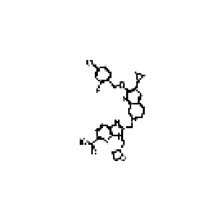 O=C(O)c1ccc2nc(CN3CCc4cc(C5CC5)c(OCc5ccc(Cl)cc5F)nc4C3)n(C[C@@H]3CCO3)c2n1